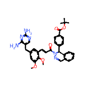 COc1cc(Cc2cnc(N)nc2N)cc(/C=C/C(=O)N2N=Cc3ccccc3C2c2ccc(C(=O)OC(C)(C)C)cc2)c1OC